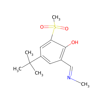 CN=Cc1cc(C(C)(C)C)cc(S(C)(=O)=O)c1O